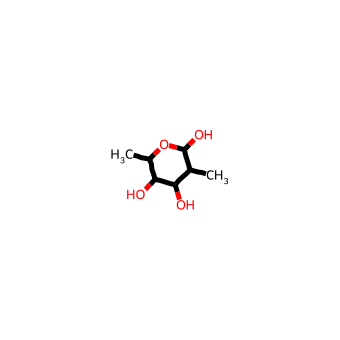 CC1OC(O)C(C)C(O)C1O